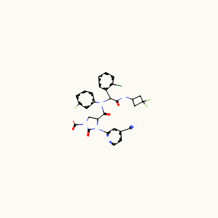 N#Cc1ccnc(N2C(=O)N(C(=O)O)CC2C(=O)N(c2cccc(F)c2)C(C(=O)NC2CC(F)(F)C2)c2ccccc2Cl)c1